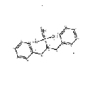 N=P(O)(O)N(Cc1ccccc1)Cc1ccccc1